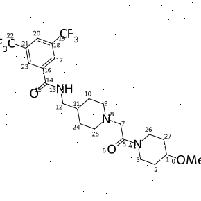 COC1CCN(C(=O)CN2CCC(CNC(=O)c3cc(C(F)(F)F)cc(C(F)(F)F)c3)CC2)CC1